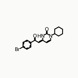 O=C(C=C1C=CN(C2CCCCC2)C(=O)N1)c1ccc(Br)cc1